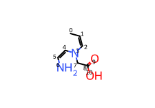 C/C=C\N(/C=C\N)CC(=O)O